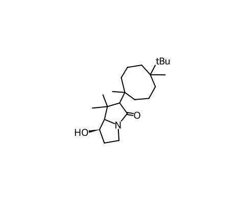 CC1(C2C(=O)N3CC[C@@H](O)C3C2(C)C)CCCC(C)(C(C)(C)C)CCC1